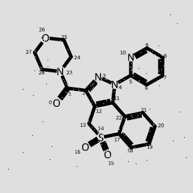 O=C(c1nn(-c2ccccn2)c2c1CS(=O)(=O)c1ccccc1-2)N1CCOCC1